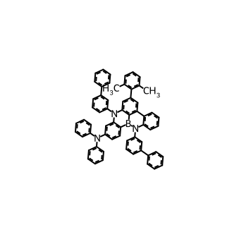 Cc1cccc(C)c1-c1cc2c3c(c1)N(c1cccc(-c4ccccc4)c1)c1cc(N(c4ccccc4)c4ccccc4)ccc1B3N(c1cccc(-c3ccccc3)c1)c1ccccc1-2